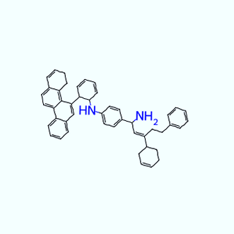 NC(/C=C(\CCc1ccccc1)C1CC=CCC1)c1ccc(NC2C=CC=CC2c2cc3ccccc3c3ccc4c(c23)CCC=C4)cc1